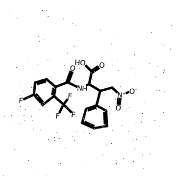 O=C(NC(C(=O)O)C(C[N+](=O)[O-])c1ccccc1)c1ccc(F)cc1C(F)(F)F